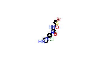 O=C(NC1CC(=O)N(c2ccc(N3CCCNCC3)c(Cl)c2)C1)c1ccc(Br)s1